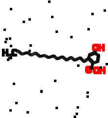 CCCCCCCCCCCCCCCCCc1cc(O)ccc1C(=O)O